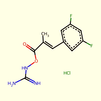 C/C(=C\c1cc(F)cc(F)c1)C(=O)ONC(=N)N.Cl